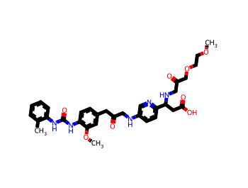 COCCOCC(=O)CNC(CC(=O)O)c1ccc(NCC(=O)Cc2ccc(NC(=O)Nc3ccccc3C)c(OC)c2)cn1